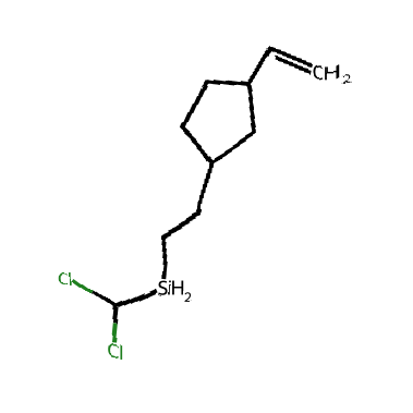 C=CC1CCC(CC[SiH2]C(Cl)Cl)C1